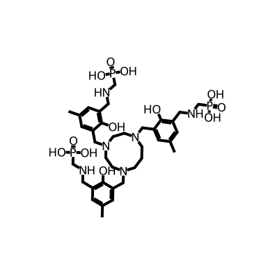 Cc1cc(CNCP(=O)(O)O)c(O)c(CN2CCCN(Cc3cc(C)cc(CNCP(=O)(O)O)c3O)CCN(Cc3cc(C)cc(CNCP(=O)(O)O)c3O)CC2)c1